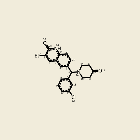 CCc1cc2cc(C(c3cccc(Cl)c3)N3CCC(=O)CC3)ccc2[nH]c1=O